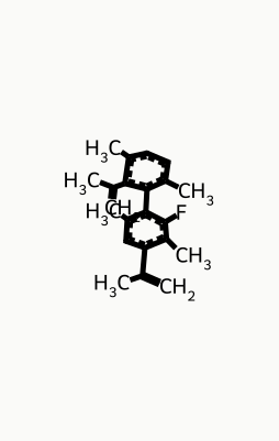 C=C(C)c1cc(C)c(-c2c(C)ccc(C)c2C(=C)C)c(F)c1C